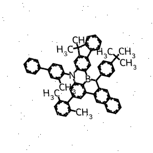 Cc1cc(-c2ccccc2)ccc1N1c2cc3c(cc2B2c4c(cc(-c5c(C)cccc5C)cc41)-c1cc4ccccc4cc1C2c1ccc(C(C)(C)C)cc1)-c1ccccc1C3(C)C